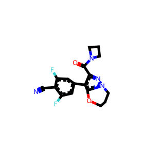 N#Cc1c(F)cc(-c2c(C(=O)N3CCC3)nn3c2OCCC3)cc1F